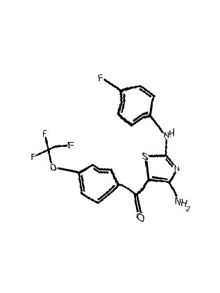 Nc1nc(Nc2ccc(F)cc2)sc1C(=O)c1ccc(OC(F)(F)F)cc1